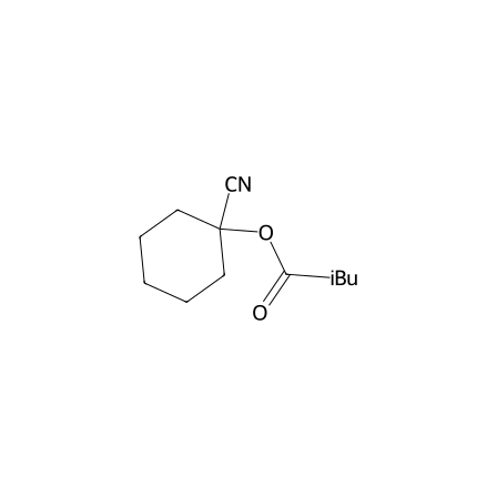 CCC(C)C(=O)OC1(C#N)CCCCC1